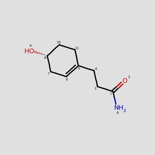 NC(=O)CCC1=CC[C@H](O)CC1